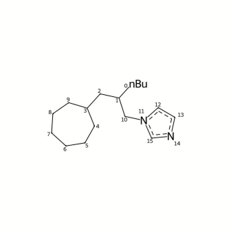 CCCCC(CC1CCCCCC1)Cn1ccnc1